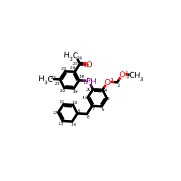 COCOc1ccc(CC2C=CC=CC2)cc1Pc1ccc(C)cc1C(C)=O